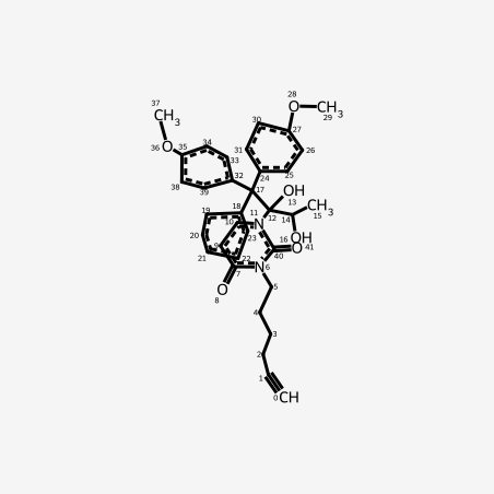 C#CCCCCn1c(=O)ccn(C(O)(C(C)O)C(c2ccccc2)(c2ccc(OC)cc2)c2ccc(OC)cc2)c1=O